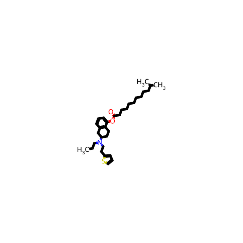 CCCN(CCc1cccs1)C1CCc2c(cccc2OC(=O)CCCCCCCCCC(C)C)C1